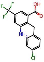 Nc1cc(C(F)(F)F)cc(C(=O)O)c1Cc1ccc(Cl)cc1